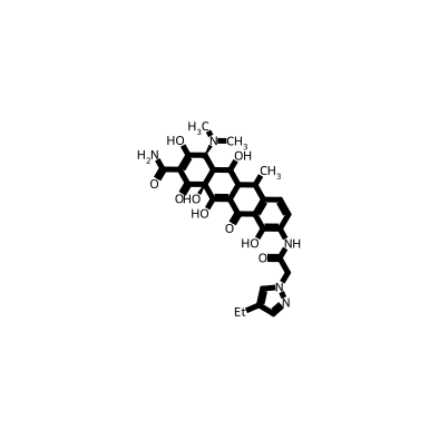 CCc1cnn(CC(=O)Nc2ccc3c(c2O)C(=O)C2=C(O)[C@]4(O)C(=O)C(C(N)=O)=C(O)[C@@H](N(C)C)C4C(O)C2C3C)c1